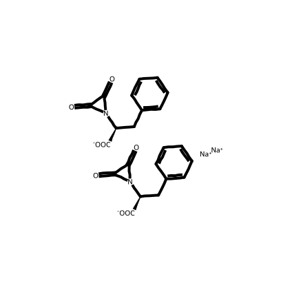 O=C([O-])[C@H](Cc1ccccc1)n1c(=O)c1=O.O=C([O-])[C@H](Cc1ccccc1)n1c(=O)c1=O.[Na+].[Na+]